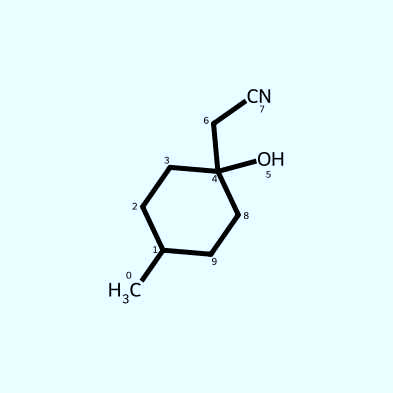 CC1CCC(O)(CC#N)CC1